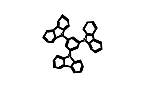 C1=Cc2c(n(-c3cc(-n4c5ccccc5c5ccccc54)cc(-n4c5ccccc5c5ccccc54)c3)c3ccccc23)CC1